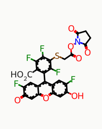 O=C(CSc1c(F)c(F)c(C(=O)O)c(-c2c3cc(F)c(=O)cc-3oc3cc(O)c(F)cc23)c1F)ON1C(=O)CCC1=O